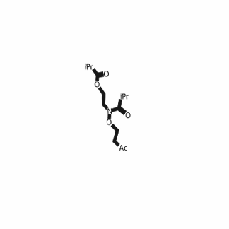 CC(=O)CCON(CCOC(=O)C(C)C)C(=O)C(C)C